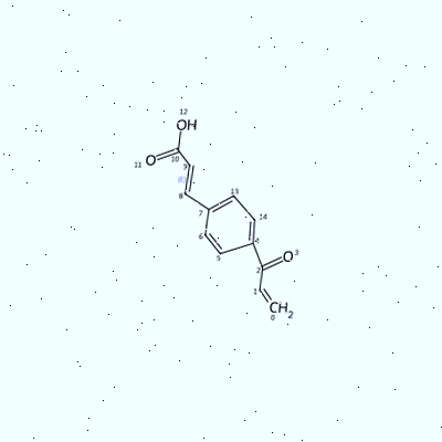 C=CC(=O)c1ccc(/C=C/C(=O)O)cc1